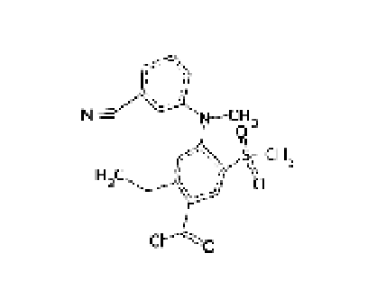 CCc1cc(N(C)c2cccc(C#N)c2)c(S(C)(=O)=O)cc1C(=O)Cl